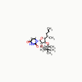 C=CC[C@H](C)[C@H]1O[C@@H](n2ccc(=O)[nH]c2=O)[C@@H](OC)C1O[Si](C)(C)C(C)(C)C